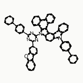 c1ccc(-c2ccc(-c3nc(-c4ccc5c(c4)oc4ccccc45)nc(-n4c5ccc6c(c7ccccc7n6-c6ccc(-c7ccccc7)cc6)c5c5c6ccccc6c6ccccc6c54)n3)cc2)cc1